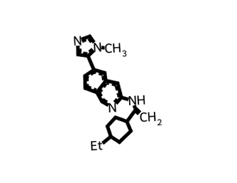 C=C(Nc1cc2cc(-c3cncn3C)ccc2cn1)C1CCC(CC)CC1